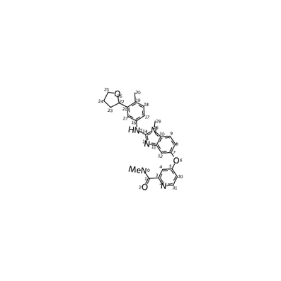 CNC(=O)c1cc(Oc2ccc3c(c2)nc(Nc2ccc(C)c(C4CCCO4)c2)n3C)ccn1